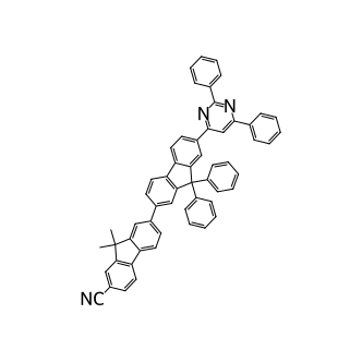 CC1(C)c2cc(C#N)ccc2-c2ccc(-c3ccc4c(c3)C(c3ccccc3)(c3ccccc3)c3cc(-c5cc(-c6ccccc6)nc(-c6ccccc6)n5)ccc3-4)cc21